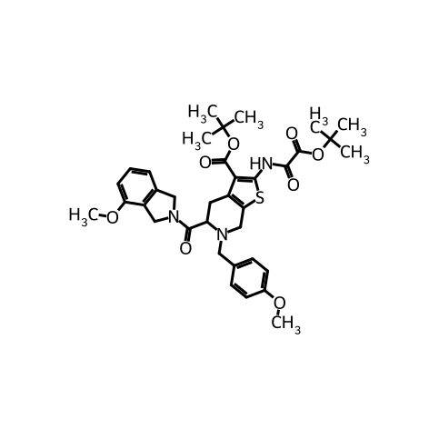 COc1ccc(CN2Cc3sc(NC(=O)C(=O)OC(C)(C)C)c(C(=O)OC(C)(C)C)c3CC2C(=O)N2Cc3cccc(OC)c3C2)cc1